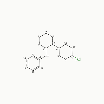 ClC1CCC(C2CCCCC2Cc2ccccc2)CC1